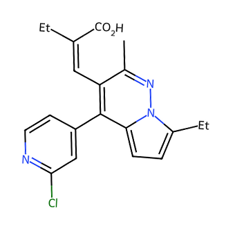 CCC(=Cc1c(C)nn2c(CC)ccc2c1-c1ccnc(Cl)c1)C(=O)O